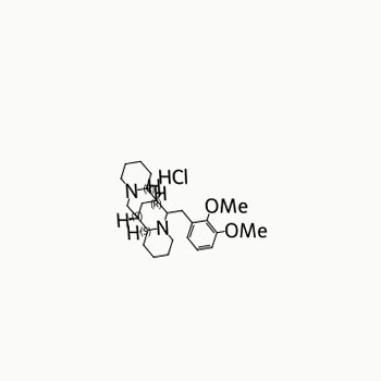 COc1cccc(CC2[C@@H]3C[C@@H](CN4CCCC[C@H]34)[C@@H]3CCCCN23)c1OC.Cl